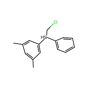 Cc1cc(C)cc([SiH](CCl)c2ccccc2)c1